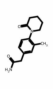 Cc1cc(CC(N)=O)ccc1N1CCCCC1=O